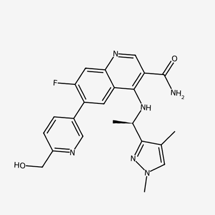 Cc1cn(C)nc1[C@@H](C)Nc1c(C(N)=O)cnc2cc(F)c(-c3ccc(CO)nc3)cc12